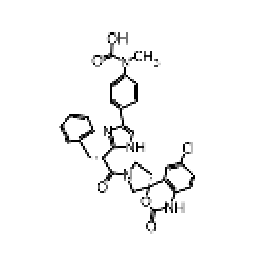 CN(C(=O)O)c1ccc(-c2c[nH]c([C@@H](Cc3ccccc3)C(=O)N3CC[C@@]4(C3)OC(=O)Nc3ccc(Cl)cc34)n2)cc1